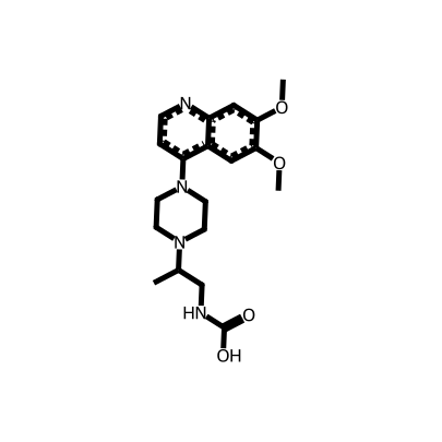 COc1cc2nccc(N3CCN(C(C)CNC(=O)O)CC3)c2cc1OC